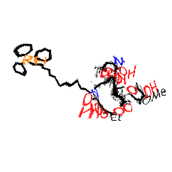 CC[C@H]1OC(=O)[C@H](C)[C@@H](C2C[C@@](C)(OC)[C@@H](O)[C@H](C)O2)[C@H](C)[C@@H](O[C@@H]2O[C@H](C)C[C@H](N(C)C)[C@H]2O)[C@](C)(O)C[C@@H](C)CN(C(=O)CCCCCCCCCCCC[PH](C2CCCCC2)(C2CCCCC2)C2CCCCC2)[C@H](C)[C@@H](O)[C@]1(C)O